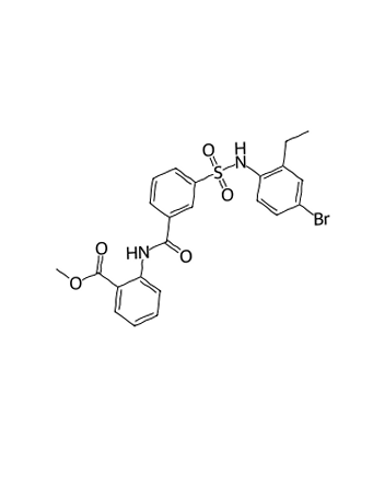 CCc1cc(Br)ccc1NS(=O)(=O)c1cccc(C(=O)Nc2ccccc2C(=O)OC)c1